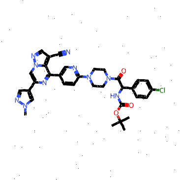 Cn1cc(-c2cn3ncc(C#N)c3c(-c3ccc(N4CCN(C(=O)C(NC(=O)OC(C)(C)C)c5ccc(Cl)cc5)CC4)nc3)n2)cn1